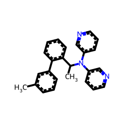 Cc1cccc(-c2ccccc2C(C)N(c2cccnc2)c2cccnc2)c1